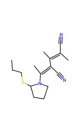 CCCSC1CCCN1/C(C)=C(C#N)/C(C)=C(\C)C#N